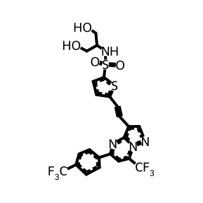 O=S(=O)(NC(CO)CO)c1ccc(C#Cc2cnn3c(C(F)(F)F)cc(-c4ccc(C(F)(F)F)cc4)nc23)s1